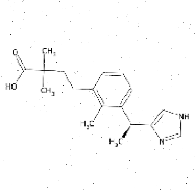 Cc1c(CCC(C)(C)C(=O)O)cccc1[C@H](C)c1c[nH]cn1